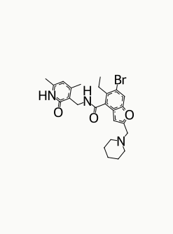 CCc1c(Br)cc2oc(CN3CCCCC3)cc2c1C(=O)NCc1c(C)cc(C)[nH]c1=O